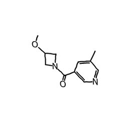 COC1CN(C(=O)c2cncc(C)c2)C1